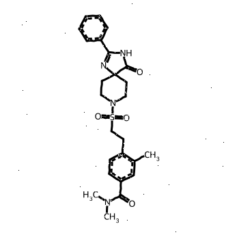 Cc1cc(C(=O)N(C)C)ccc1CCS(=O)(=O)N1CCC2(CC1)N=C(c1ccccc1)NC2=O